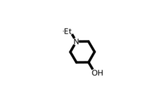 C[CH]N1CCC(O)CC1